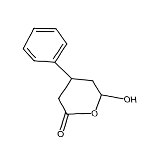 O=C1CC(c2ccccc2)CC(O)O1